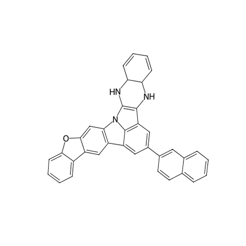 C1=CC2Nc3c(n4c5cc6oc7ccccc7c6cc5c5cc(-c6ccc7ccccc7c6)cc3c54)NC2C=C1